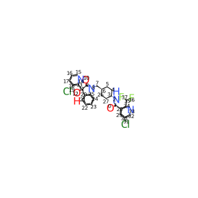 O=C(N[C@H]1CC[C@H](CN2C(=O)C(O)(c3ncccc3Cl)c3ccccc32)CC1)c1cc(Cl)cnc1C(F)F